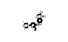 CCc1nc(N2C[C@@H](C)O[C@@H](C)C2)ccc1Nc1ccc2c(c1)OCC(=O)N2